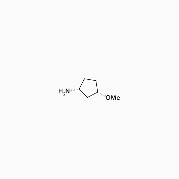 CO[C@H]1CC[C@@H](N)C1